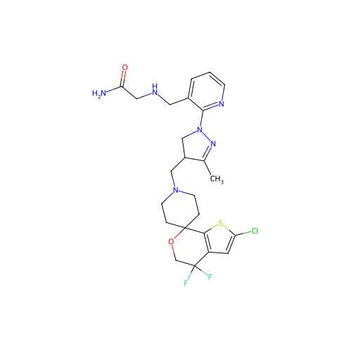 CC1=NN(c2ncccc2CNCC(N)=O)CC1CN1CCC2(CC1)OCC(F)(F)c1cc(Cl)sc12